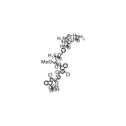 COCCN(CCN(C)C(=O)OCc1ccc(NC(=O)[C@H](CCCNC(N)=O)NC(=O)C(N)C(C)C)cc1)C(=O)Oc1cc2c(c3ccccc13)[C@H](CCl)CN2C(=O)c1ccc(C(=O)N2C[C@@H](CCl)c3c2cc(OP(=O)(O)O)c2ccccc32)s1